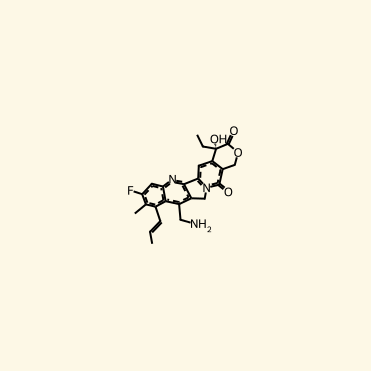 C/C=C/c1c(C)c(F)cc2nc3c(c(CN)c12)Cn1c-3cc2c(c1=O)COC(=O)[C@]2(O)CC